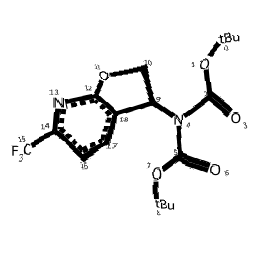 CC(C)(C)OC(=O)N(C(=O)OC(C)(C)C)C1COc2nc(C(F)(F)F)ccc21